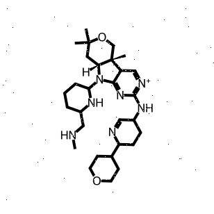 CNCC1CCCC(N2C3=NC(NC4C=NC(C5CCOCC5)CC4)=[N+]=CC3[C@@]3(C)COC(C)(C)C[C@@H]23)N1